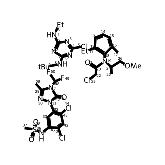 CCNc1nc(Cl)nc(NC(C)(C)C)n1.CCc1cccc(C)c1N(C(=O)CCl)C(C)COC.Cc1nn(-c2cc(NS(C)(=O)=O)c(Cl)cc2Cl)c(=O)n1C(F)F